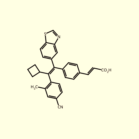 Cc1cc(C#N)ccc1C(=C(c1ccc(C=CC(=O)O)cc1)c1ccc2scnc2c1)C1CCC1